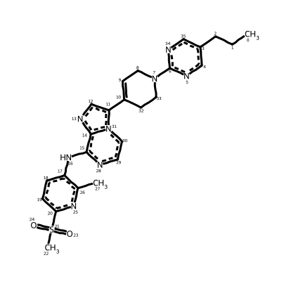 CCCc1cnc(N2CC=C(c3cnc4c(Nc5ccc(S(C)(=O)=O)nc5C)nccn34)CC2)nc1